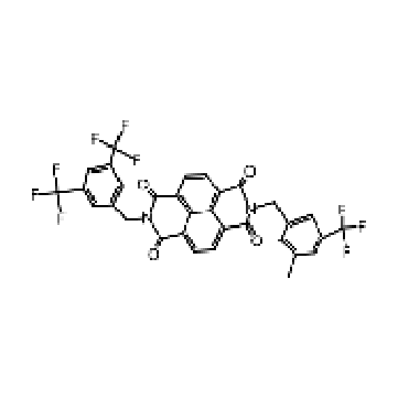 Cc1cc(CN2C(=O)c3ccc4c5c(ccc(c35)C2=O)C(=O)N(Cc2cc(C(F)(F)F)cc(C(F)(F)F)c2)C4=O)cc(C(F)(F)F)c1